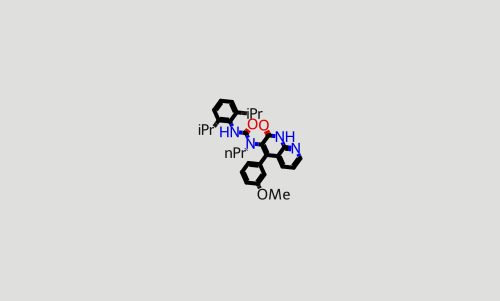 CCCN(C(=O)Nc1c(C(C)C)cccc1C(C)C)c1c(-c2cccc(OC)c2)c2cccnc2[nH]c1=O